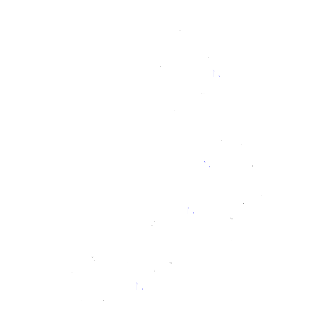 CC1(C)c2ccc(-c3ccc4c(c3)[nH]c3ccccc34)nc2-c2nc(-c3ccc4c(c3)[nH]c3ccccc34)ccc21